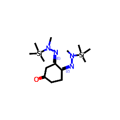 CN(/N=C1/CCC(=O)C/C1=N\N(C)[Si](C)(C)C)[Si](C)(C)C